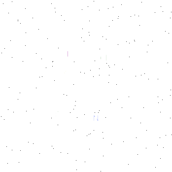 Clc1ccnc(Cl)c1SI